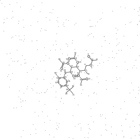 CC(=O)OCC(C)C(OC(C)=O)C(OC(C)=O)C(OC(C)=O)C(O)Sc1cc(C(C)(C)C)ccc1C